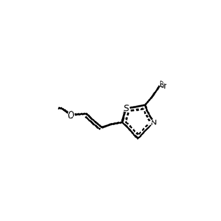 CO/C=C/c1cnc(Br)s1